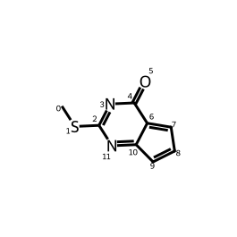 CSC1=NC(=O)C2=CC=CC2=N1